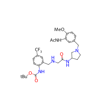 COc1ccc(CN2CCC(NC(=O)CNCc3cc(C(F)(F)F)ccc3NC(=O)OC(C)(C)C)C2)cc1NC(C)=O